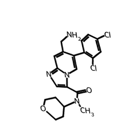 CN(C(=O)c1cnc2cc(CN)c(-c3ccc(Cl)cc3Cl)cn12)C1CCOCC1